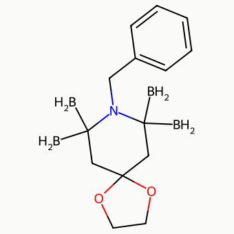 BC1(B)CC2(CC(B)(B)N1Cc1ccccc1)OCCO2